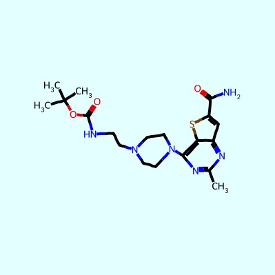 Cc1nc(N2CCN(CCNC(=O)OC(C)(C)C)CC2)c2sc(C(N)=O)cc2n1